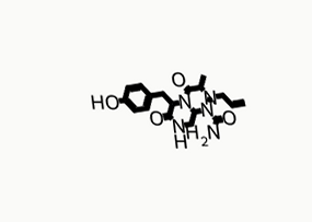 C=CCN1C(C)C(=O)N2C(Cc3ccc(O)cc3)C(=O)NCC2N1C(N)=O